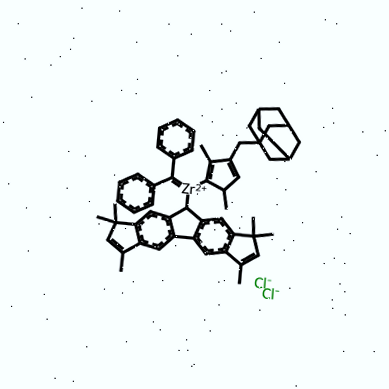 CC1=CC(C)(C)c2cc3c(cc21)-c1cc2c(cc1[CH]3[Zr+2]([C]1=C(C)C(CC34CC5CC(CC(C5)C3)C4)=CC1C)=[C](c1ccccc1)c1ccccc1)C(C)(C)C=C2C.[Cl-].[Cl-]